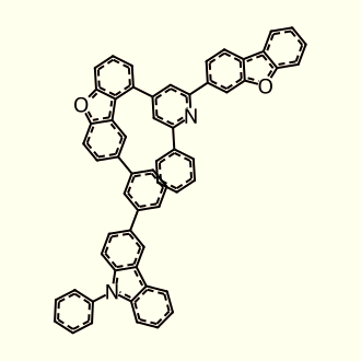 c1ccc(-c2cc(-c3cccc4oc5ccc(-c6cccc(-c7ccc8c(c7)c7ccccc7n8-c7ccccc7)c6)cc5c34)cc(-c3ccc4c(c3)oc3ccccc34)n2)cc1